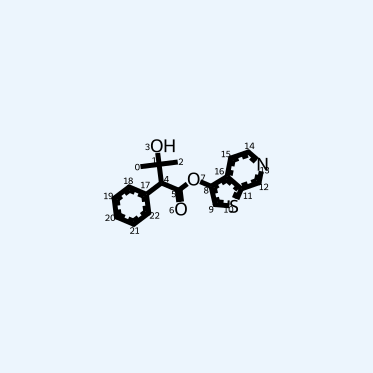 CC(C)(O)C(C(=O)Oc1csc2cnccc12)c1ccccc1